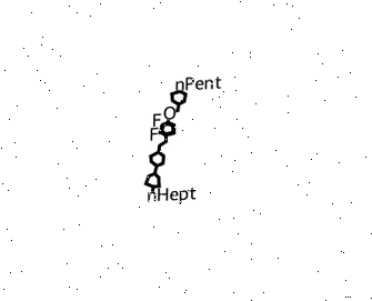 CCCCCCCC1CCC(C2CCC(CCc3ccc(OCC4CCC(CCCCC)CC4)c(F)c3F)CC2)CC1